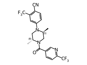 C[C@@H]1CN(c2ccc(C#N)c(C(F)(F)F)c2)[C@@H](C)CN1C(=O)c1ccc(C(F)(F)F)nc1